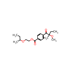 CCC(C)OCCOC(=O)c1ccc(C(=O)C(C)(CC)OC)cc1